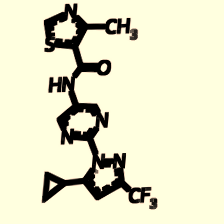 Cc1ncsc1C(=O)Nc1cnc(-n2nc(C(F)(F)F)cc2C2CC2)nc1